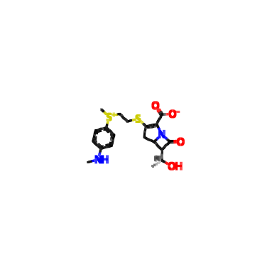 CNc1ccc([S+](C)CCSC2=C(C(=O)[O-])N3C(=O)C([C@@H](C)O)C3C2)cc1